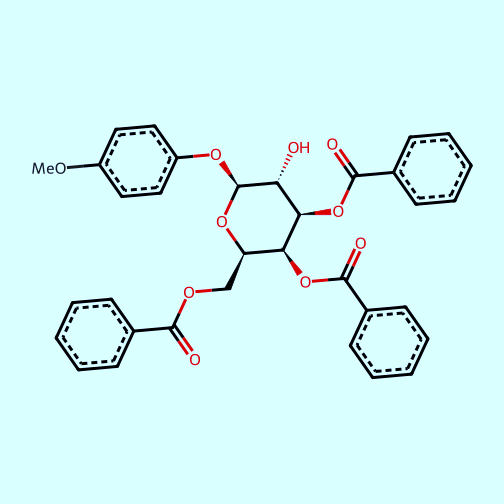 COc1ccc(O[C@@H]2O[C@H](COC(=O)c3ccccc3)[C@H](OC(=O)c3ccccc3)[C@H](OC(=O)c3ccccc3)[C@H]2O)cc1